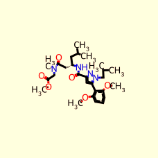 COC(=O)CN(C)C(=O)C[C@H](CC(C)C)NC(=O)c1cc(-c2c(OC)cccc2OC)n(CC(C)C)n1